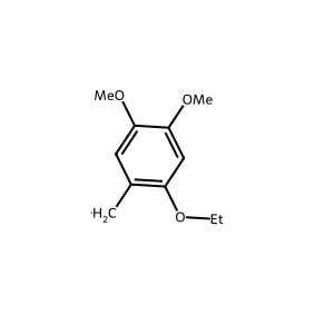 [CH2]c1cc(OC)c(OC)cc1OCC